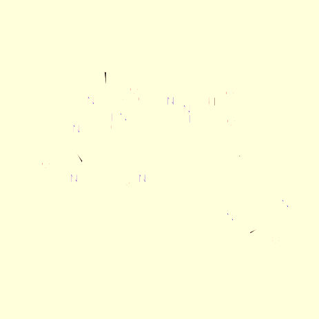 C=CC(=O)N(C)C[C@H]1CCN1C(=O)N(C)[C@H](C(=O)N[C@H]1Cc2nc(cs2)-c2ccc3c(c2)c(c(-c2cccnc2[C@H](C)OC)n3CC)CC(C)(C)COC(=O)[C@@H]2CCCN(N2)C1=O)C(C)C